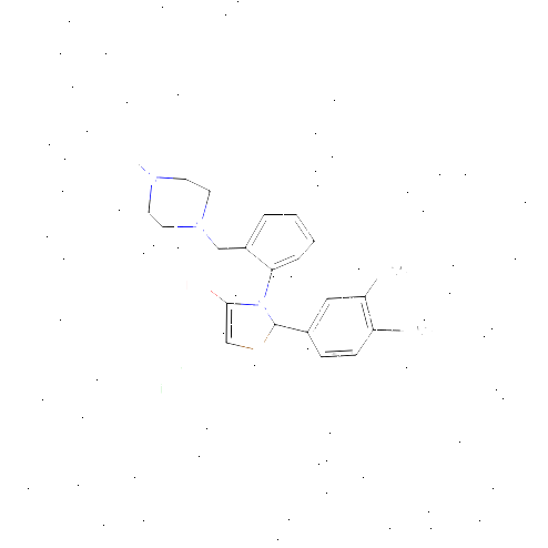 COc1ccc(C2SC=C(O)N2c2ccccc2CN2CCN(C)CC2)cc1OC.Cl.Cl.Cl